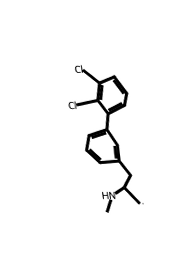 [CH2]C(Cc1cccc(-c2cccc(Cl)c2Cl)c1)NC